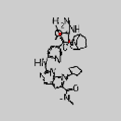 CC(C)[C@@H](NN)C(=O)N1C2CCC1CN(C(=O)c1ccc(Nc3ncc4cc(C(=O)N(C)C)n(C5CCCC5)c4n3)nc1)C2